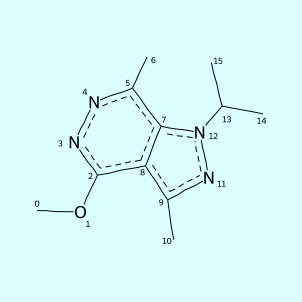 COc1nnc(C)c2c1c(C)nn2C(C)C